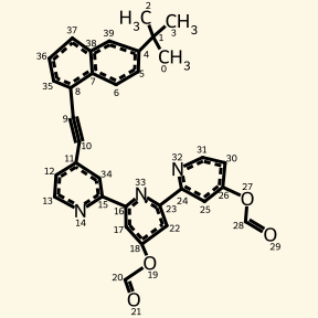 CC(C)(C)c1ccc2c(C#Cc3ccnc(-c4cc(OC=O)cc(-c5cc(OC=O)ccn5)n4)c3)cccc2c1